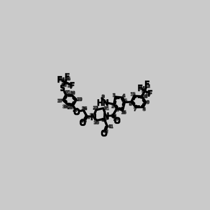 CNc1ccc(-c2cccc(C(F)(F)F)c2)cc1C(=O)N1CCN(C(=O)COc2ccc(SC(F)(F)F)cc2)CC1C=O